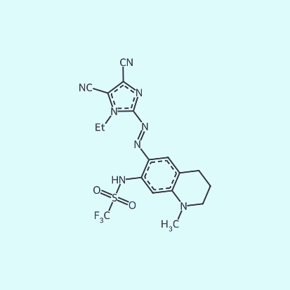 CCn1c(N=Nc2cc3c(cc2NS(=O)(=O)C(F)(F)F)N(C)CCC3)nc(C#N)c1C#N